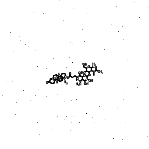 COC1C(C(=O)NCCC(=O)O[C@H]2CC[C@H]3[C@@H]4CCC5=CC(=O)CC[C@]5(C)[C@H]4CC[C@]23C)OC(OC2C(O)C(CO)OC(C)C2NC(C)=O)C(O)C1O